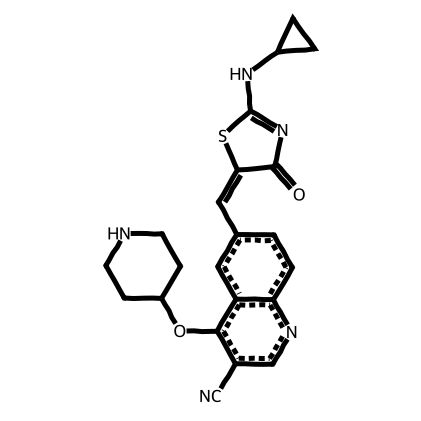 N#Cc1cnc2ccc(C=C3SC(NC4CC4)=NC3=O)cc2c1OC1CCNCC1